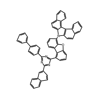 c1ccc(-c2ccc(-c3nc(-c4ccc5ccccc5c4)nc(-c4cccc5oc6c(-n7c8ccc9ccccc9c8c8c9ccccc9ccc87)cccc6c45)n3)cc2)cc1